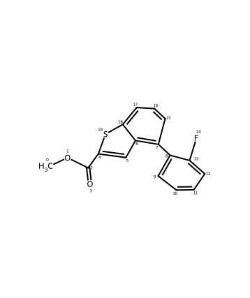 COC(=O)c1cc2c(-c3ccccc3F)cccc2s1